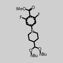 CCCCOC(OCCCC)C1CCN(c2cc(F)c(C(=O)OC)c(F)c2)CC1